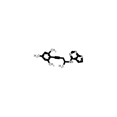 Cc1cc(C)c(C#CCC(C)Nc2ncnc3sccc23)c(C)c1